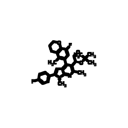 Cc1nc2c(cc(-c3ccc(F)cc3)n2C)c(-c2cc(F)c3c(c2C)CCCO3)c1[C@@H](C=O)OC(C)(C)C